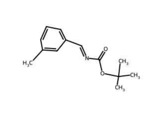 Cc1cccc(C=NC(=O)OC(C)(C)C)c1